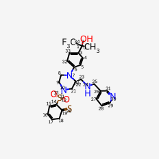 CC(O)(c1ccc(N2CCN(S(=O)(=O)C3=CC=CCC3=S)C[C@@H]2CNCc2cccnc2)cc1)C(F)(F)F